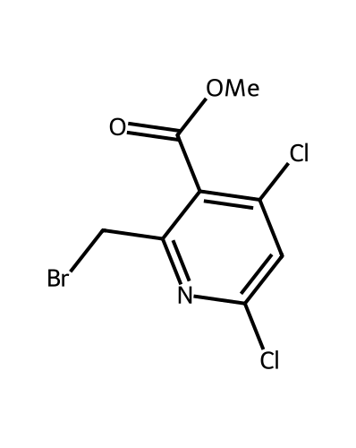 COC(=O)c1c(Cl)cc(Cl)nc1CBr